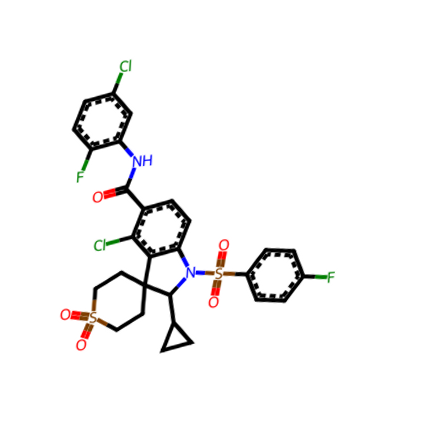 O=C(Nc1cc(Cl)ccc1F)c1ccc2c(c1Cl)C1(CCS(=O)(=O)CC1)C(C1CC1)N2S(=O)(=O)c1ccc(F)cc1